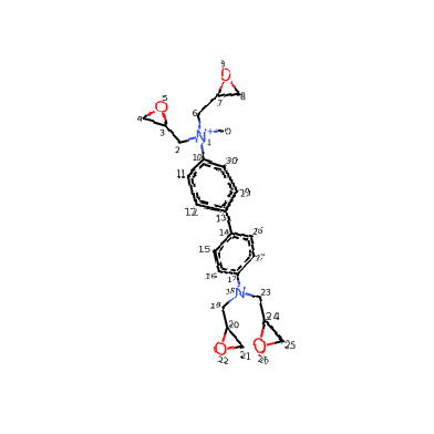 C[N+](CC1CO1)(CC1CO1)c1ccc(-c2ccc(N(CC3CO3)CC3CO3)cc2)cc1